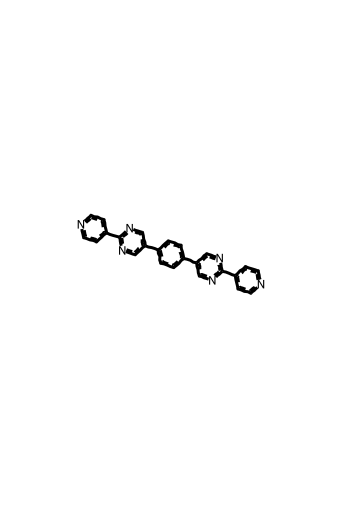 c1cc(-c2ncc(-c3ccc(-c4cnc(-c5ccncc5)nc4)cc3)cn2)ccn1